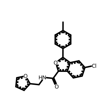 Cc1ccc(-c2oc(C(=O)NCc3ccco3)c3ccc(Cl)cc23)cc1